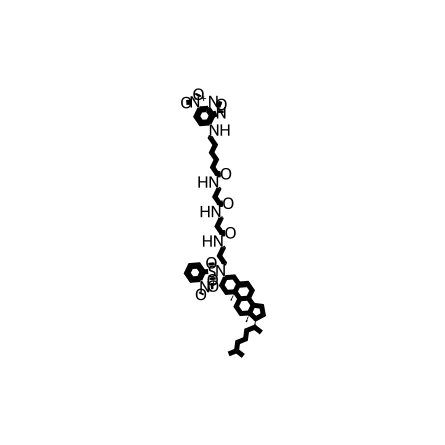 CC(C)CCCC(C)[C@H]1CCC2C3CC=C4CC(N(CCCNC(=O)CCNC(=O)CCNC(=O)CCCCCNc5ccc([N+](=O)[O-])c6nonc56)S(=O)(=O)c5ccccc5[N+](=O)[O-])CC[C@]4(C)C3CC[C@@]21C